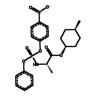 C[C@H](NP(=O)(Oc1ccccc1)Oc1ccc([N+](=O)[O-])cc1)C(=O)O[C@H]1CC[C@@H](C)CC1